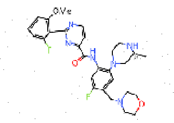 COc1cccc(F)c1-c1nccc(C(=O)Nc2cc(F)c(CN3CCOCC3)cc2N2CCN[C@@H](C)C2)n1